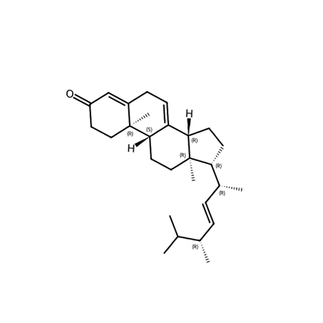 CC(C)[C@@H](C)C=C[C@@H](C)[C@H]1CC[C@H]2C3=CCC4=CC(=O)CC[C@]4(C)[C@H]3CC[C@]12C